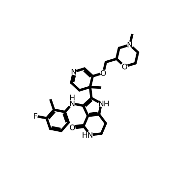 Cc1c(F)cccc1Nc1c(C2(C)CC=NC=C2OCC2CN(C)CCO2)[nH]c2c1C(=O)NCC2